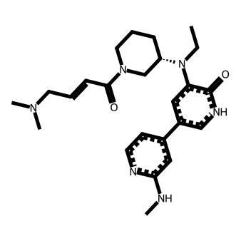 CCN(c1cc(-c2ccnc(NC)c2)c[nH]c1=O)[C@H]1CCCN(C(=O)C=CCN(C)C)C1